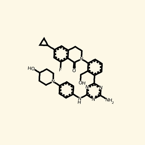 Nc1nc(Nc2ccc(N3CCC(O)CC3)cc2)nc(-c2cccc(N3CCc4cc(C5CC5)cc(F)c4C3=O)c2CO)n1